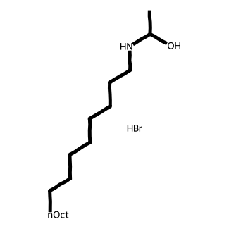 Br.CCCCCCCCCCCCCCCCNC(C)O